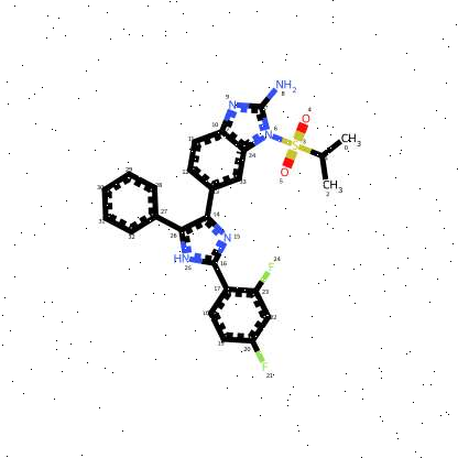 CC(C)S(=O)(=O)n1c(N)nc2ccc(-c3nc(-c4ccc(F)cc4F)[nH]c3-c3ccccc3)cc21